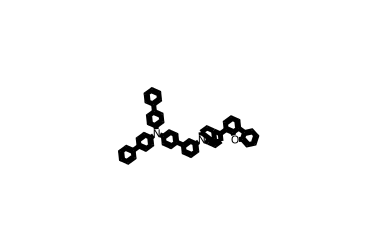 c1ccc(-c2ccc(N(c3ccc(-c4ccccc4)cc3)c3ccc(-c4cccc(N5C6CC7CC5CC(C6)C7c5cccc6c5oc5ccccc56)c4)cc3)cc2)cc1